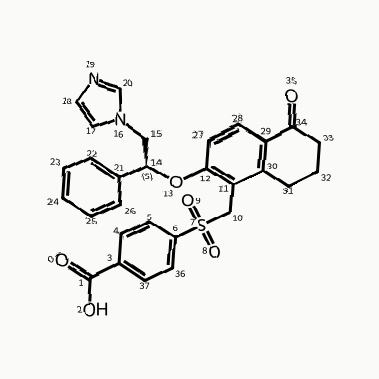 O=C(O)c1ccc(S(=O)(=O)Cc2c(O[C@H](Cn3ccnc3)c3ccccc3)ccc3c2CCCC3=O)cc1